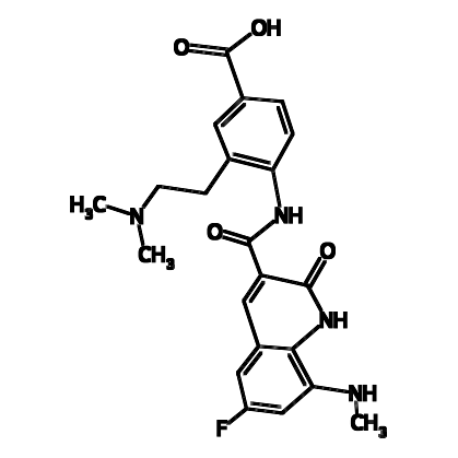 CNc1cc(F)cc2cc(C(=O)Nc3ccc(C(=O)O)cc3CCN(C)C)c(=O)[nH]c12